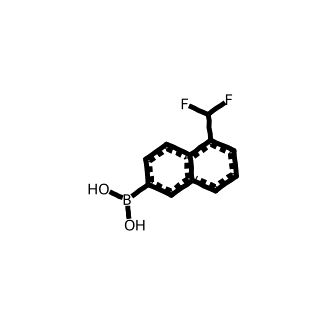 OB(O)c1ccc2c(C(F)F)cccc2c1